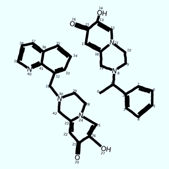 CC(c1ccccc1)N1CCn2cc(O)c(=O)cc2C1.O=c1cc2n(cc1O)CCN(Cc1cccc3cccnc13)C2